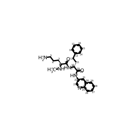 CN[C@@H](CCCN)C(=O)N[C@H](CCc1ccccc1)C(=O)Nc1cnc2ccccc2c1